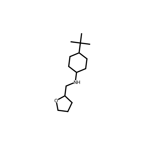 CC(C)(C)C1CCC(NCC2CCCO2)CC1